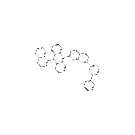 c1ccc(-c2cccc(-c3ccc4ccc(-c5c6ccccc6c(-c6cccc7ccccc67)c6ccccc56)cc4c3)c2)cc1